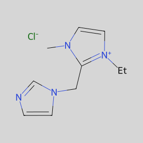 CC[n+]1ccn(C)c1Cn1ccnc1.[Cl-]